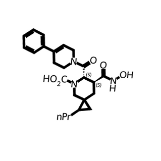 CCCC1CC12C[C@H](C(=O)NO)[C@@H](C(=O)N1CC=C(c3ccccc3)CC1)N(C(=O)O)C2